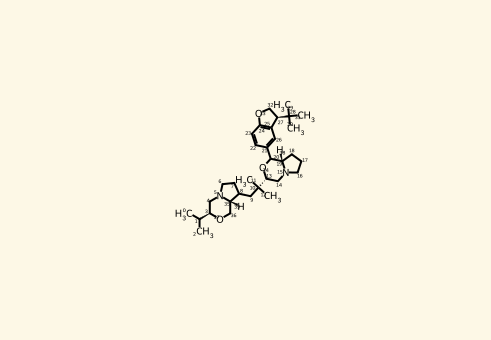 CC(C)[C@H]1CN2CCC(CC(C)(C)[C@H]3CN4CCC[C@H]4C(c4ccc5c(c4)[C@H](C(C)(C)C)CO5)O3)[C@@H]2CO1